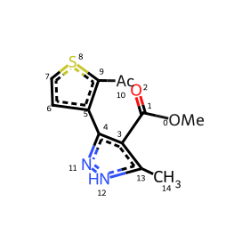 COC(=O)c1c(-c2ccsc2C(C)=O)n[nH]c1C